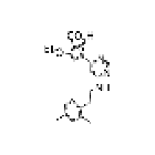 CCOc1cc(-c2cc(NCCc3ccc(C)cc3C)ncn2)sc1C(=O)O